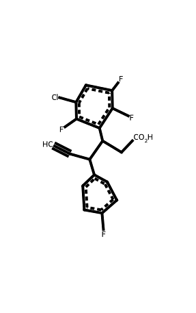 C#CC(c1ccc(F)cc1)C(CC(=O)O)c1c(F)c(F)cc(Cl)c1F